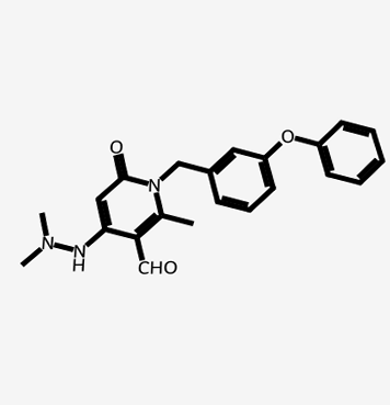 Cc1c(C=O)c(NN(C)C)cc(=O)n1Cc1cccc(Oc2ccccc2)c1